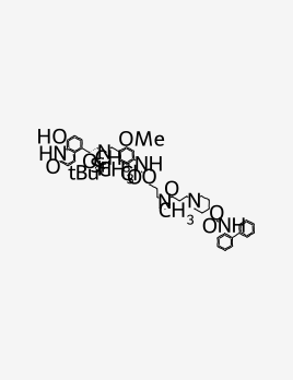 COc1cc(NC(=O)OCCCN(C)C(=O)CCN2CCC(OC(=O)Nc3ccccc3-c3ccccc3)CC2)c(Cl)cc1CNC[C@H](O[Si](C)(C)C(C)(C)C)c1ccc(O)c2[nH]c(=O)ccc12